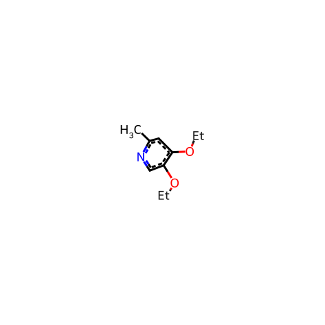 CCOc1cnc(C)cc1OCC